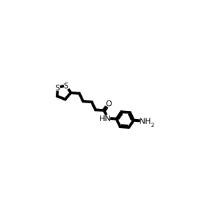 Nc1ccc(NC(=O)CCCCC2CCSS2)cc1